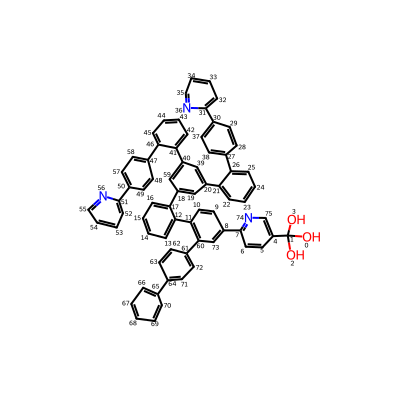 OC(O)(O)c1ccc(-c2ccc(-c3ccccc3-c3cc(-c4ccccc4-c4ccc(-c5ccccn5)cc4)cc(-c4ccccc4-c4ccc(-c5ccccn5)cc4)c3)c(-c3ccc(-c4ccccc4)cc3)c2)nc1